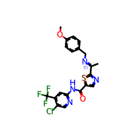 COc1ccc(C/N=C(\C)c2ncc(C(=O)Nc3cc(C(F)(F)F)c(Cl)cn3)s2)cc1